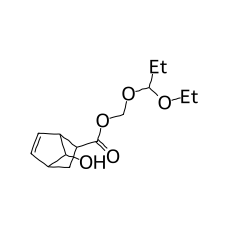 CCOC(CC)OCOC(=O)C1CC2C=CC1C2O